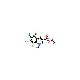 C=Nc1c(F)c(F)c(Cl)c(F)c1/C=C(\C)C(=O)OCC